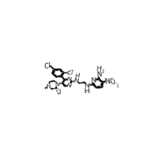 CN1CCN(c2cnc(NCCNc3ccc([N+](=O)[O-])c(N)n3)nc2-c2ccc(Cl)cc2Cl)C(=O)C1